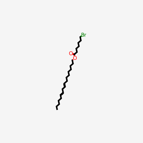 CCCCCC=CCC=CCCCCCCCCOC(=O)CCCCCCBr